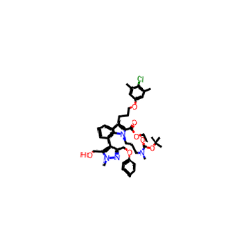 CCOC(=O)c1c(CCCOc2cc(C)c(Cl)c(C)c2)c2cccc(-c3c(COc4ccccc4)nn(C)c3CO)c2n1CCCN(C)C(=O)OC(C)(C)C